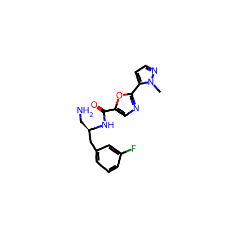 Cn1nccc1-c1ncc(C(=O)N[C@H](CN)Cc2cccc(F)c2)o1